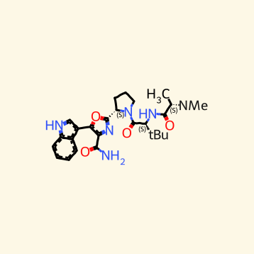 CN[C@@H](C)C(=O)N[C@H](C(=O)N1CCC[C@H]1c1nc(C(N)=O)c(-c2c[nH]c3ccccc23)o1)C(C)(C)C